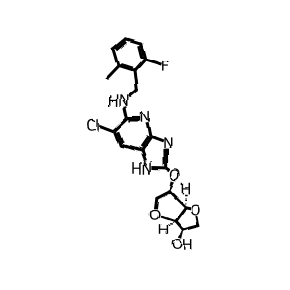 Cc1cccc(F)c1CNc1nc2nc(O[C@@H]3CO[C@H]4[C@@H]3OC[C@H]4O)[nH]c2cc1Cl